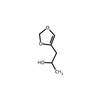 CC(O)CC1=COCO1